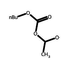 CCCCOC(=O)OC(C)[O]